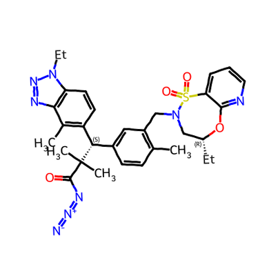 CC[C@@H]1CN(Cc2cc([C@@H](c3ccc4c(nnn4CC)c3C)C(C)(C)C(=O)N=[N+]=[N-])ccc2C)S(=O)(=O)c2cccnc2O1